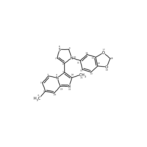 Cc1ccn2c(C3=CSCN3c3ccc4c(c3)OCO4)c(C)nc2c1